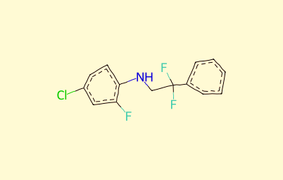 Fc1cc(Cl)ccc1NCC(F)(F)c1ccccc1